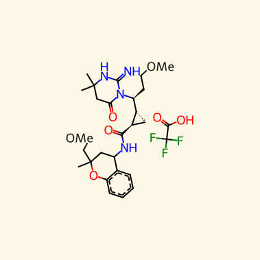 COCC[C@@H]([C@@H]1C[C@H]1C(=O)NC1CC(C)(COC)Oc2ccccc21)N1C(=N)NC(C)(C)CC1=O.O=C(O)C(F)(F)F